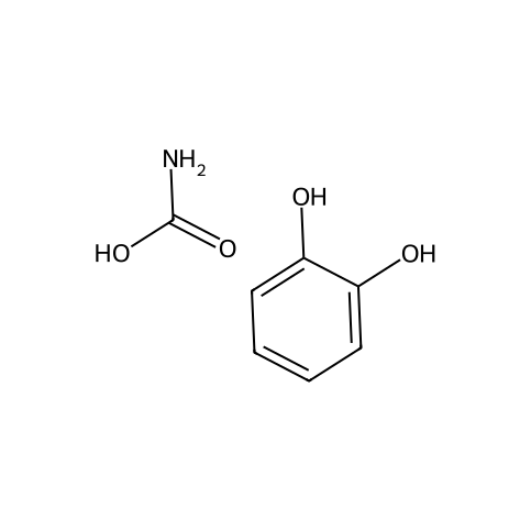 NC(=O)O.Oc1ccccc1O